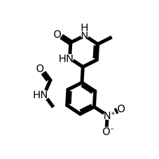 CC1=CC(c2cccc([N+](=O)[O-])c2)NC(=O)N1.CNC=O